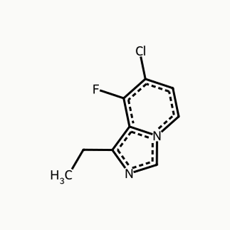 CCc1ncn2ccc(Cl)c(F)c12